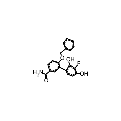 NC(=O)c1ccc(OCc2ccccc2)c(-c2ccc(O)c(F)c2O)c1